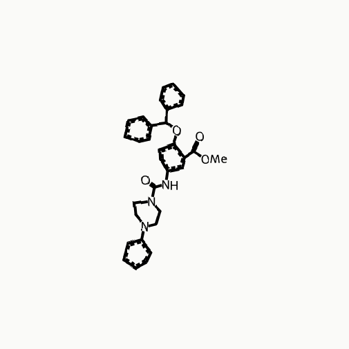 COC(=O)c1cc(NC(=O)N2CCN(c3ccccc3)CC2)ccc1OC(c1ccccc1)c1ccccc1